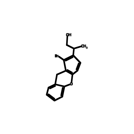 CC(CO)c1ccc2c(c1Br)Cc1ccccc1O2